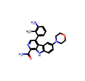 Cc1c(N)cccc1-c1cnc(C(N)=O)c2[nH]c3ccc(N4CCOCC4)cc3c12